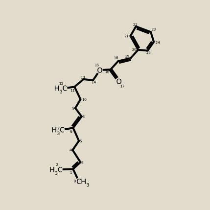 CC(C)=CCC/C(C)=C/CCC(C)CCOC(=O)/C=C/c1ccccc1